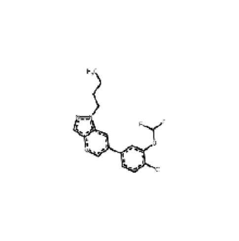 CCCCn1ncc2ncc(-c3ccc(Cl)c(OC(F)F)c3)cc21